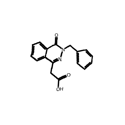 O=C(O)Cc1nn(Cc2ccccc2)c(=O)c2ccccc12